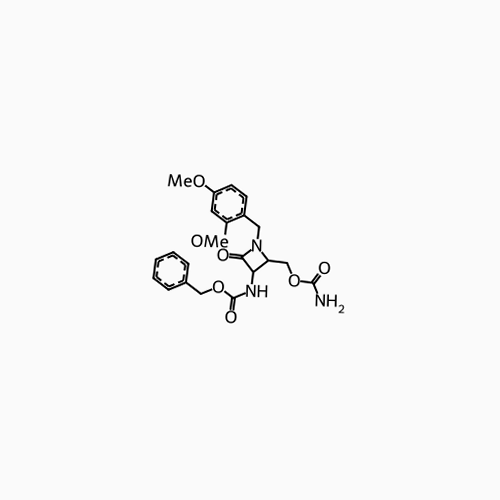 COc1ccc(CN2C(=O)C(NC(=O)OCc3ccccc3)C2COC(N)=O)c(OC)c1